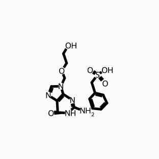 Nc1nc2c(ncn2COCCO)c(=O)[nH]1.O=S(=O)(O)Cc1ccccc1